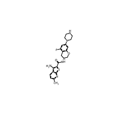 Cc1ccc2c(N)c(C(=O)N[C@H]3COc4cc(N5CCNCC5)cc(F)c4C3)sc2n1